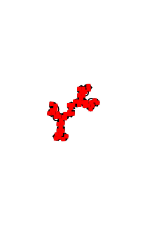 c1cc(-c2ccc(N(c3ccc(-c4ccc(-n5c6ccccc6c6ccccc65)cc4)cc3)c3ccc(-c4cccc5c4oc4ccccc45)cc3)cc2)cc(-c2cccc(-c3ccc(N(c4ccc(-c5cccc6c5oc5ccccc56)cc4)c4ccc(-c5cccc6c5oc5ccccc56)cc4)cc3)c2)c1